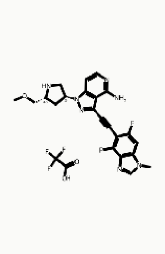 COC[C@H]1C[C@H](n2nc(C#Cc3c(F)cc4c(ncn4C)c3F)c3c(N)nccc32)CN1.O=C(O)C(F)(F)F